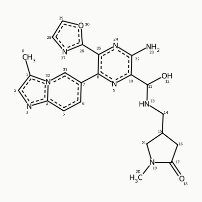 Cc1cnc2ccc(-c3nc(C(O)NCC4CC(=O)N(C)C4)c(N)nc3-c3ncco3)cn12